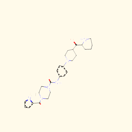 Cn1cccc1C(=O)N1CCN(C(=O)Nc2ccc(N3CCC(C(=O)C4CCCCN4)CC3)cc2)CC1